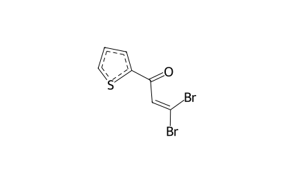 O=C(C=C(Br)Br)c1cccs1